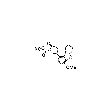 COc1ccc(C2CCC(=O)C(C(=O)OC#N)C2)c2c1oc1ccccc12